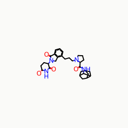 O=C1CCC(N2Cc3c(CCCN4CCCC4C(=O)NC4C5CC6CC(C5)C4C6)cccc3C2=O)C(=O)N1